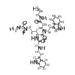 NC(=O)N(F)CCCC(NC(=O)CNCCc1c[nH]c2ccccc12)C(=O)N(CCC(=O)NCCS)CCc1c[nH]c2ccccc12